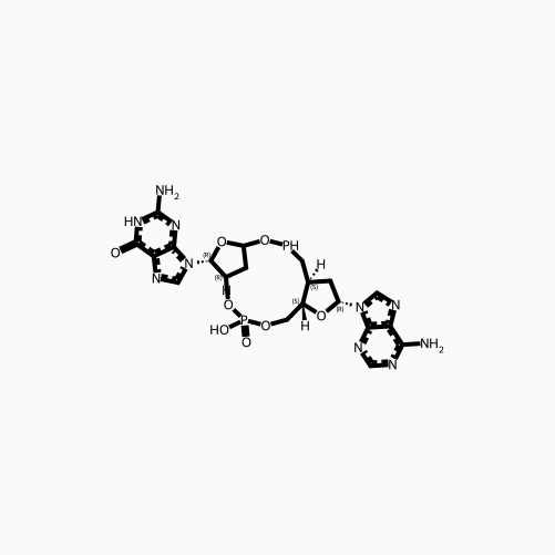 Nc1nc2c(ncn2[C@@H]2OC3C[C@H]2OP(=O)(O)OC[C@H]2O[C@@H](n4cnc5c(N)ncnc54)C[C@@H]2CPO3)c(=O)[nH]1